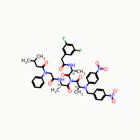 CC(C)CC(=O)N(CC(=O)N[C@@H](C)C(=O)N(C(=O)[C@H](C)NC(=O)Cc1cc(F)cc(F)c1)C(=O)[C@H](C)N(Cc1ccc([N+](=O)[O-])cc1)c1ccc([N+](=O)[O-])cc1)c1ccccc1